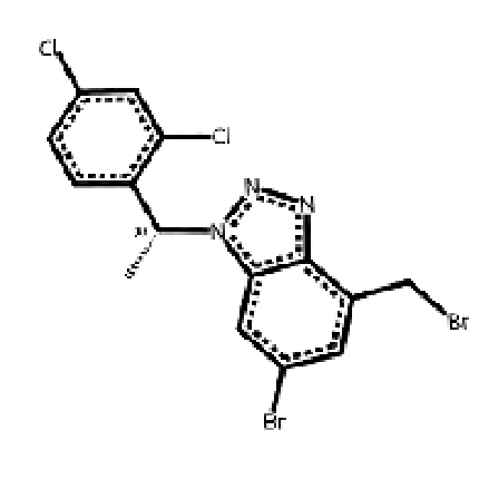 C[C@H](c1ccc(Cl)cc1Cl)n1nnc2c(CBr)cc(Br)cc21